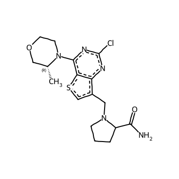 C[C@@H]1COCCN1c1nc(Cl)nc2c(CN3CCCC3C(N)=O)csc12